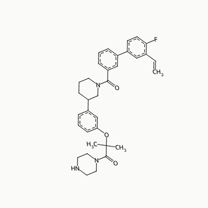 C=Cc1cc(-c2cccc(C(=O)N3CCCC(c4cccc(OC(C)(C)C(=O)N5CCNCC5)c4)C3)c2)ccc1F